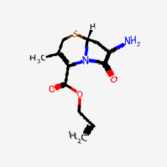 C=CCOC(=O)C1=C(C)CS[C@@H]2C(N)C(=O)N12